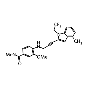 CNC(=O)c1ccc(NCC#Cc2cc3c(C)cccc3n2CC(F)(F)F)c(OC)c1